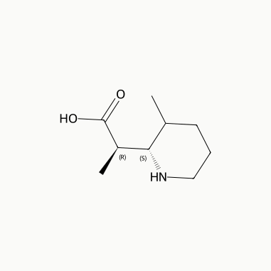 CC1CCCN[C@@H]1[C@@H](C)C(=O)O